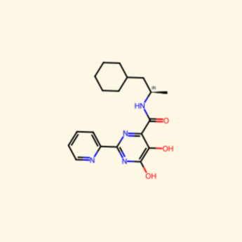 C[C@H](CC1CCCCC1)NC(=O)c1nc(-c2ccccn2)nc(O)c1O